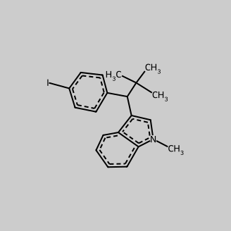 Cn1cc(C(c2ccc(I)cc2)C(C)(C)C)c2ccccc21